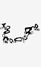 O=C(CN1CCC(OC2CCN(c3cc(Oc4cccc(C5CCCN(C(=O)C6CC6)C5)c4)cnn3)CC2)CC1)N1CCN(C(=O)c2cc(Cc3n[nH]c(=O)c4ccccc34)ccc2F)CC1